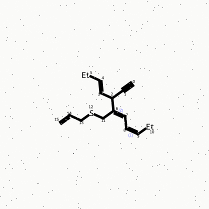 C#CC(C=CCC)/C(=C/C=C\CC)CSCC=C